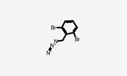 [N-]=[N+]=NCc1c(Br)cccc1Br